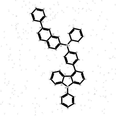 C1=CCC(N(c2ccc(-c3cccc4c3c3ccccc3n4-c3ccccc3)cc2)c2ccc3ccc(-c4ccccc4)cc3c2)C=C1